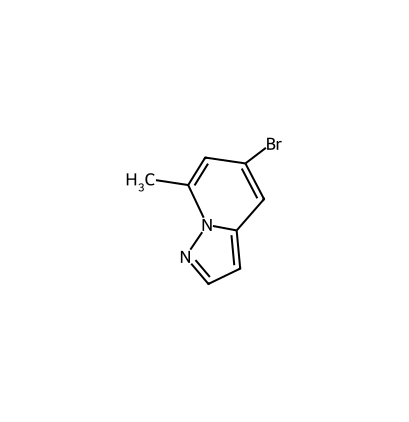 Cc1cc(Br)cc2ccnn12